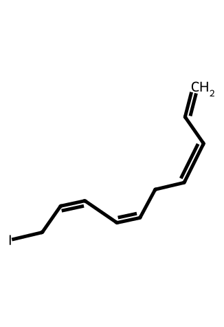 C=C/C=C\C/C=C\C=C/CI